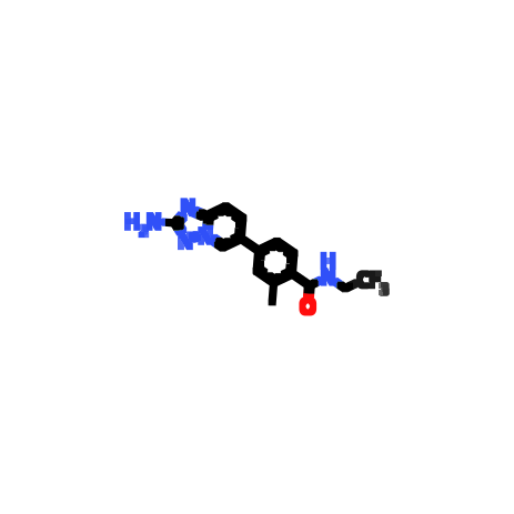 Cc1cc(-c2ccc3nc(N)nn3c2)ccc1C(=O)NCC(F)(F)F